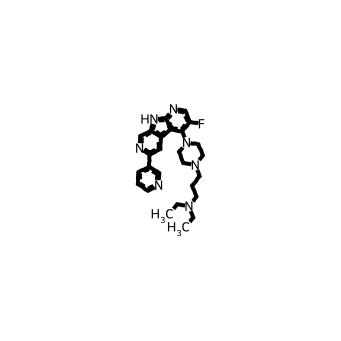 CCN(CC)CCCN1CCN(c2c(F)cnc3[nH]c4cnc(-c5cccnc5)cc4c23)CC1